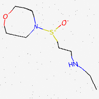 CCNCC[S+]([O-])N1CCOCC1